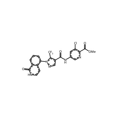 COC(=O)c1ncc(NC(=O)c2cnn(-c3cccc4c(=O)[nH]ccc34)c2C(F)(F)F)cc1Cl